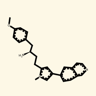 COc1ccc(C[C@H](N)CCc2cc(-c3ccc4cnccc4c3)cn2C)cc1